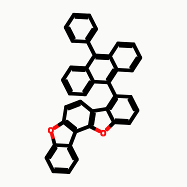 c1ccc(-c2c3ccccc3c(-c3cccc4oc5c(ccc6oc7ccccc7c65)c34)c3ccccc23)cc1